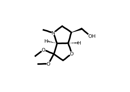 COC1(OC)CO[C@@H]2[C@H](CO)CN(C)[C@@H]21